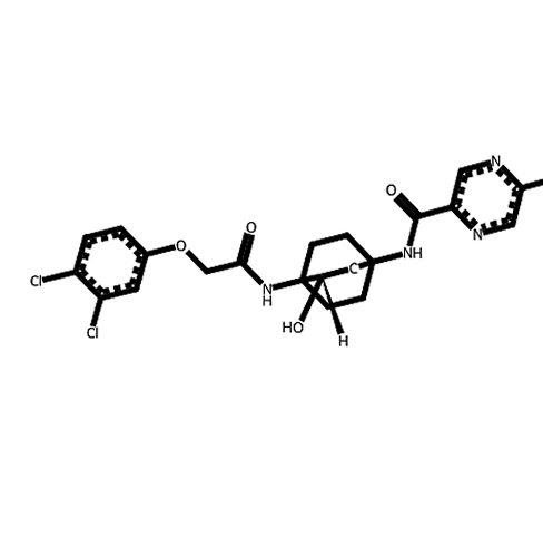 Cc1cnc(C(=O)NC23CCC(NC(=O)COc4ccc(Cl)c(Cl)c4)(CC2)[C@@H](O)C3)cn1